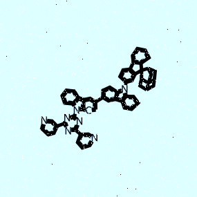 c1cncc(-c2nc(-c3cccnc3)nc(-n3c4ccccc4c4cc(-c5ccc6c(c5)c5ccccc5n6-c5ccc6c(c5)C5(c7ccccc7-6)C6CC7CC(C6)CC5C7)ccc43)n2)c1